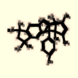 CC1=C=C(C)C(C)(C2(c3ccc(C(C)(C)C)cc3)C(C)=Cc3cc4c(cc32)C(C)(C)CC4(C)C)C1(C)[SiH](C)C